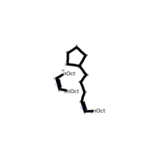 CCCCCCCC/C=C\CCCC1CCCC1.CCCCCCCC/C=C\CCCCCCCC